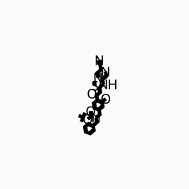 COc1cc(CN(Cc2ccccc2)C(=O)OC(C)(C)C)ccc1C(=O)/C=C(/Nc1cnc(C#N)cn1)SC